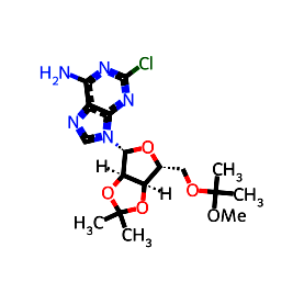 COC(C)(C)OC[C@H]1O[C@@H](n2cnc3c(N)nc(Cl)nc32)[C@@H]2OC(C)(C)O[C@@H]21